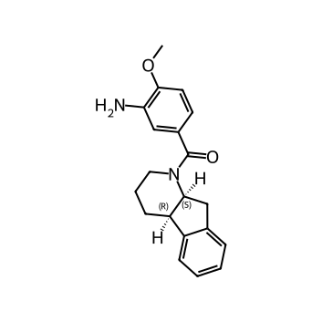 COc1ccc(C(=O)N2CCC[C@@H]3c4ccccc4C[C@@H]32)cc1N